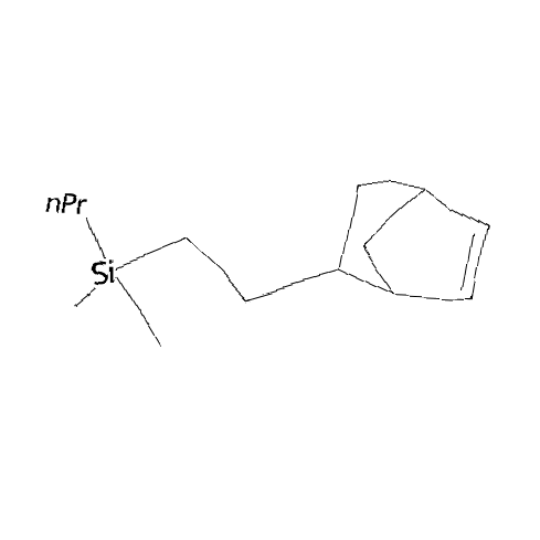 CCC[Si](C)(C)CCC1CC2C=CC1C2